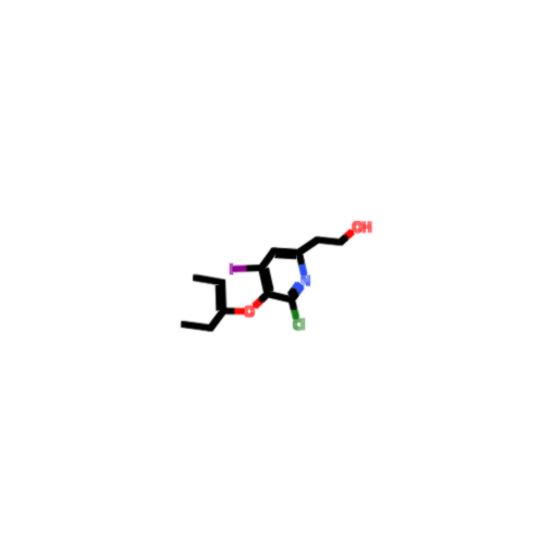 CC=C(CC)Oc1c(I)cc(CCO)nc1Cl